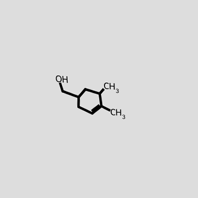 CC1=CCC(CO)CC1C